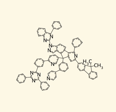 CC1(C)c2ccccc2-c2ccc(-c3cc4c(c(-c5ccccc5)n3)-c3ccc5c(cnn5-c5nc(-c6ccccc6)c6ccccc6n5)c3C4(c3ccc(-c4cccc(-c5nc(-c6ccccc6)nc(-c6ccccc6)n5)c4)nc3)c3cccc(-c4ccncc4)c3)cc21